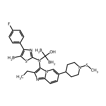 Bc1sc(N(c2c(CC)nc3ccc(C4CCN(SC)CC4)cn23)C(B)(B)O)nc1-c1ccc(F)cc1